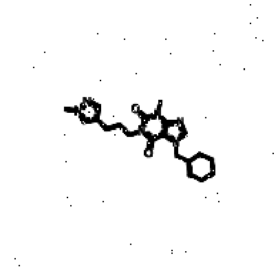 Cn1cc(CCCn2c(=O)c3c(ncn3CC3CCCCC3)n(C)c2=O)cn1